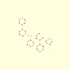 Cc1ccccc1-c1ccccc1-c1ccccc1-c1ccccc1Nc1cccc(-c2ccccc2)c1